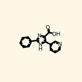 O=C(O)c1nc(-c2ccccc2)[nH]c1-c1cccnc1